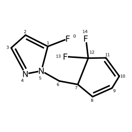 Fc1ccnn1CC1C=CC=CC1(F)F